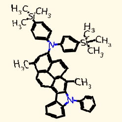 Cc1cc(N(c2ccc([Si](C)(C)C)cc2)c2ccc([Si](C)(C)C)cc2)c2ccc3c(C)c4c(c5ccc1c2c35)c1ccccc1n4-c1ccccc1